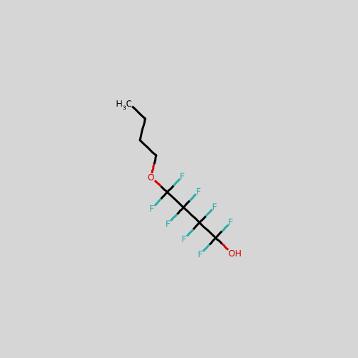 CCCCOC(F)(F)C(F)(F)C(F)(F)C(O)(F)F